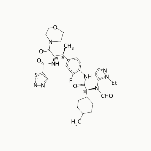 CCn1nccc1N(C=O)[C@H](C(=O)Nc1ccc([C@H](C)[C@@H](NC(=O)c2cnns2)C(=O)N2CCOCC2)cc1F)C1CCC(C)CC1